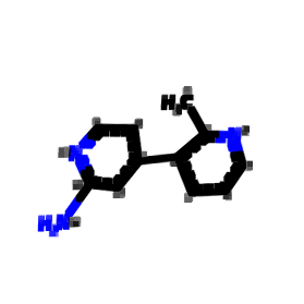 Cc1ncccc1-c1ccnc(N)c1